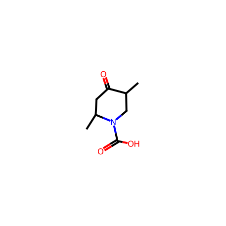 CC1CN(C(=O)O)C(C)CC1=O